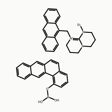 CCN1CCCN2CCC[N+](Cc3c4ccccc4cc4ccccc34)=C12.OB(O)Oc1cccc2ccc3cc4ccccc4cc3c12